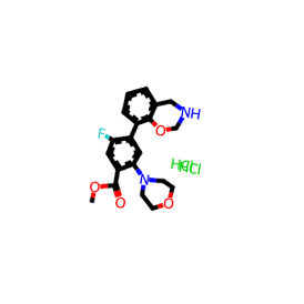 COC(=O)c1cc(F)c(-c2cccc3c2OCNC3)cc1N1CCOCC1.Cl.Cl